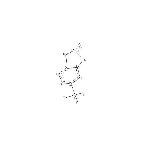 CC(C)(C)c1ccc2c(c1)CN(S)C2